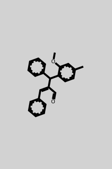 COc1cc(C)ccc1C(C(C=O)=Cc1ccccc1)c1ccccc1